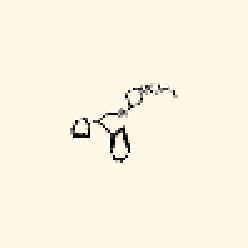 CN1CCC(=NCC(c2ccccc2)c2ccccc2)C1